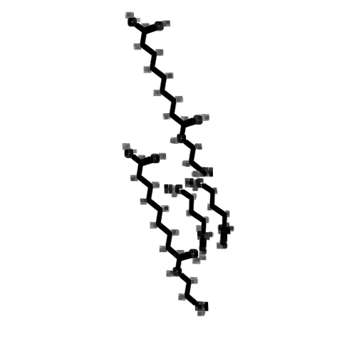 CCC[CH2][Sn+]=[S].CCC[CH2][Sn+]=[S].O=C([O-])CCCCCCCC(=O)OCCS.O=C([O-])CCCCCCCC(=O)OCCS